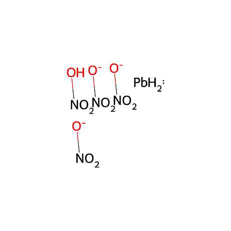 O=[N+]([O-])O.O=[N+]([O-])[O-].O=[N+]([O-])[O-].O=[N+]([O-])[O-].[PbH2]